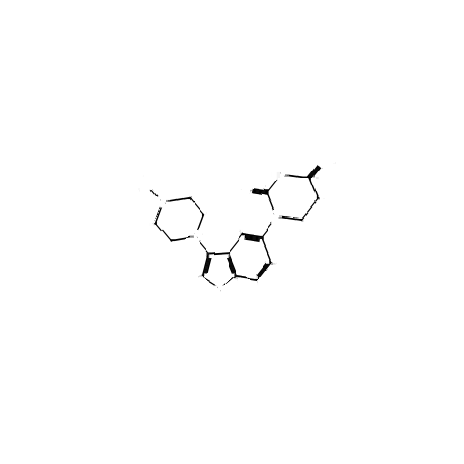 CN1CCN(c2c[nH]c3ccc(N4CCC(=O)NC4=O)cc23)CC1